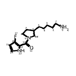 NCCCCCC1CCN(C(=O)c2[nH]ccc2F)C1